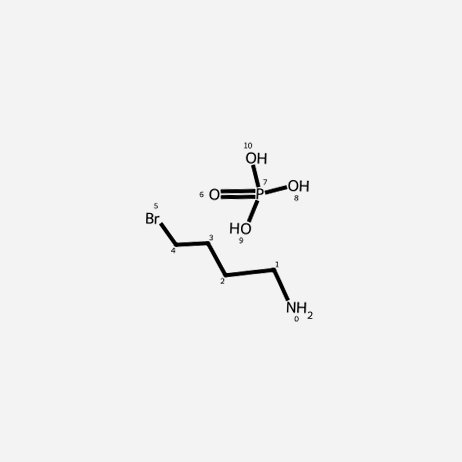 NCCCCBr.O=P(O)(O)O